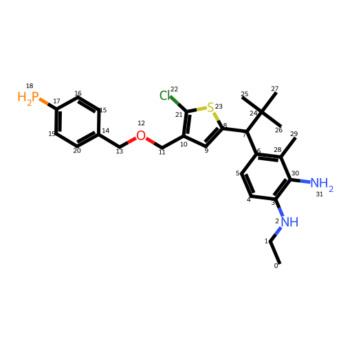 CCNc1ccc(C(c2cc(COCc3ccc(P)cc3)c(Cl)s2)C(C)(C)C)c(C)c1N